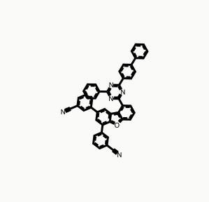 N#Cc1cccc(-c2cc(-c3cccc(C#N)c3)c3oc4cccc(-c5nc(-c6ccccc6)nc(-c6ccc(-c7ccccc7)cc6)n5)c4c3c2)c1